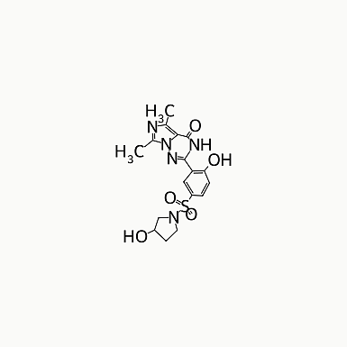 Cc1nc(C)n2nc(-c3cc(S(=O)(=O)N4CCC(O)C4)ccc3O)[nH]c(=O)c12